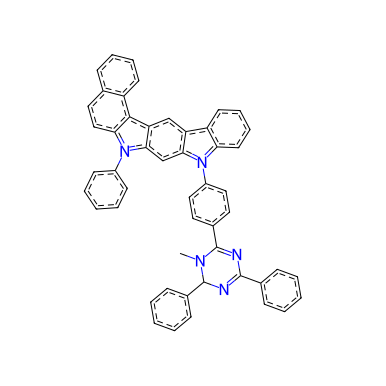 CN1C(c2ccc(-n3c4ccccc4c4cc5c6c7ccccc7ccc6n(-c6ccccc6)c5cc43)cc2)=NC(c2ccccc2)=NC1c1ccccc1